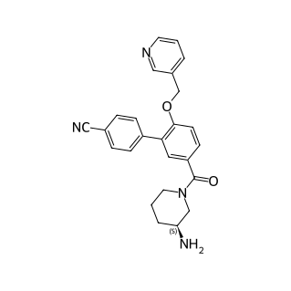 N#Cc1ccc(-c2cc(C(=O)N3CCC[C@H](N)C3)ccc2OCc2cccnc2)cc1